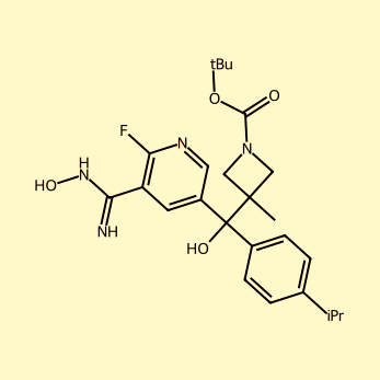 CC(C)c1ccc(C(O)(c2cnc(F)c(C(=N)NO)c2)C2(C)CN(C(=O)OC(C)(C)C)C2)cc1